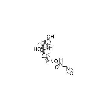 CC[C@H]1[C@@H](O)[C@H]2[C@@H]3CC[C@H]([C@H](C)CCOC(=O)NCCN4CCOCC4)C3(C)CC[C@@H]2C2(C)CC[C@@H](O)C[C@@H]12